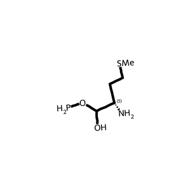 CSCC[C@H](N)C(O)OP